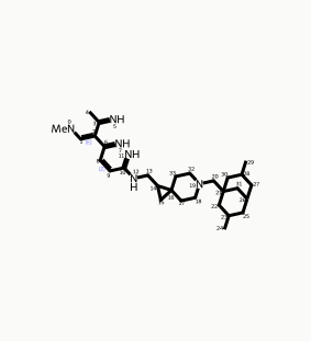 CN/C=C(\C(C)=N)C(=N)/C=C\C(=N)NCC1CC12CCN(CC13CC(C)CC(CC(C)C1)C3)CC2